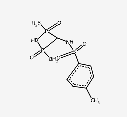 BP1(=O)BP(B)(=O)C1NS(=O)(=O)c1ccc(C)cc1